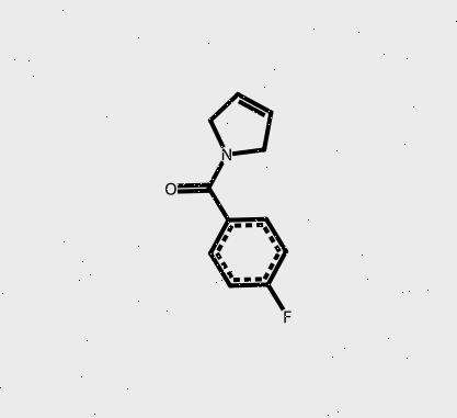 O=C(c1ccc(F)cc1)N1CC=CC1